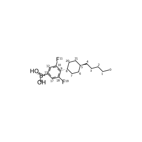 CCCCC[C@H]1CC[C@H](c2c(F)cc(B(O)O)cc2F)CC1